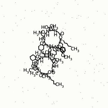 CCCCCC[C@H]1OC(=O)CNC(=O)[C@H]([C@H](C)OCC(C)C[C@H]2C(=O)N[C@@H](C3CCCCC3)C(=O)N[C@@H](CN)C(=O)N[C@@H]([C@H](C)O)C(=O)NCC(=O)O[C@H](CCCCCC)[C@@H](Cc3ccc(OC)cc3)C(=O)N2C)NC(=O)[C@H]([C@H](C)N)NC(=O)[C@H](C2CCCCC2)NC(=O)[C@H](CC(C)C)N(C)C(=O)[C@@H]1C